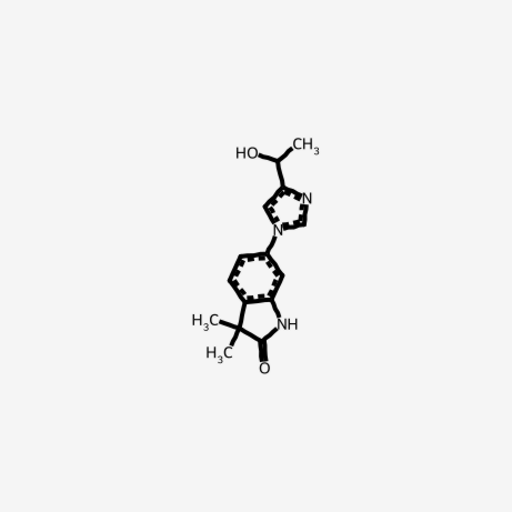 CC(O)c1cn(-c2ccc3c(c2)NC(=O)C3(C)C)cn1